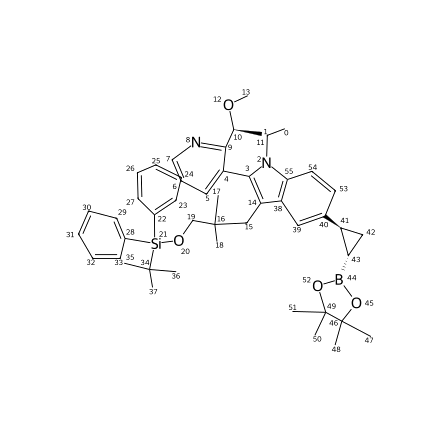 CCn1c(-c2cccnc2[C@H](C)OC)c(CC(C)(C)CO[Si](c2ccccc2)(c2ccccc2)C(C)(C)C)c2cc([C@H]3C[C@@H]3B3OC(C)(C)C(C)(C)O3)ccc21